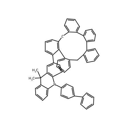 CC1(C)c2ccccc2N(c2ccc(-c3ccccc3)cc2)c2ccc(-c3cccc4c3-c3ccccc3Cc3ccccc3-c3ccccc3-c3ccccc3C4)cc21